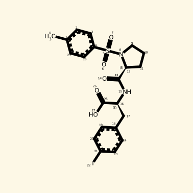 Cc1ccc(S(=O)(=O)N2CCC[C@H]2C(=O)N[C@@H](Cc2ccc(I)cc2)C(=O)O)cc1